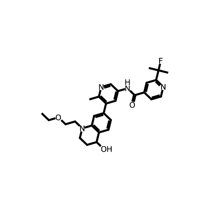 CCOCCN1CCC(O)c2ccc(-c3cc(NC(=O)c4ccnc(C(C)(C)F)c4)cnc3C)cc21